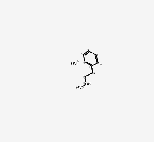 Cl.ONCCc1ccccc1